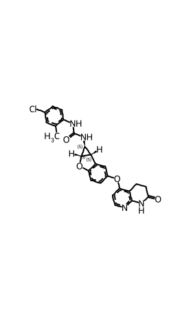 Cc1cc(Cl)ccc1NC(=O)N[C@@H]1[C@H]2Oc3ccc(Oc4ccnc5c4CCC(=O)N5)cc3[C@@H]12